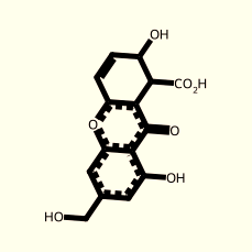 O=C(O)C1c2c(oc3cc(CO)cc(O)c3c2=O)C=CC1O